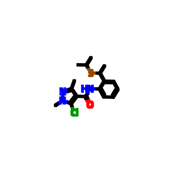 Cc1nn(C)c(Cl)c1C(=O)Nc1ccccc1C(C)SC(C)C